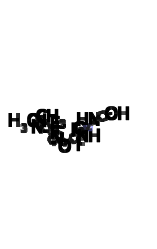 Cc1nc2cc(-c3cccn4c(C(=O)c5cc(F)c(NC(=O)/C=C/CNC6CCC(O)CC6)c(F)c5)ccc34)c(C(F)(F)F)cc2n1C